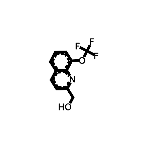 OCc1ccc2cccc(OC(F)(F)F)c2n1